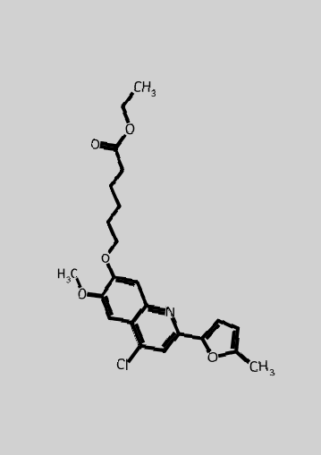 CCOC(=O)CCCCCOc1cc2nc(-c3ccc(C)o3)cc(Cl)c2cc1OC